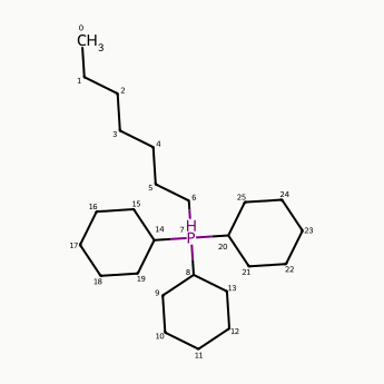 CCCCCCC[PH](C1CCCCC1)(C1CCCCC1)C1CCCCC1